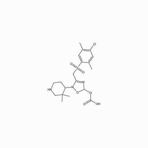 Cc1cc(S(=O)(=O)CC2=NC(OC(=O)O)ON2C2CCNCC2(C)C)c(C)cc1Cl